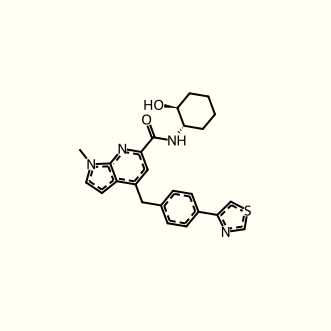 Cn1ccc2c(Cc3ccc(-c4cscn4)cc3)cc(C(=O)N[C@H]3CCCC[C@@H]3O)nc21